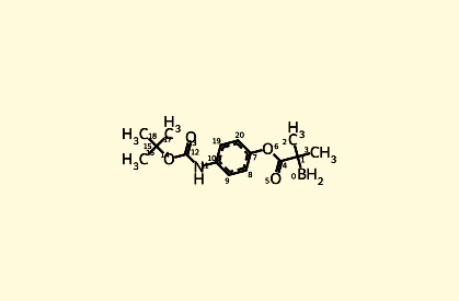 BC(C)(C)C(=O)Oc1ccc(NC(=O)OC(C)(C)C)cc1